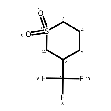 O=S1(=O)CCCC(C(F)(F)F)C1